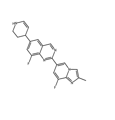 Cc1cn2cc(-c3ncc4cc(C5C=CNCC5)cc(F)c4n3)cc(F)c2n1